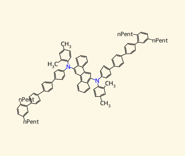 CCCCCc1ccc(CCCCC)c(-c2ccc(-c3ccc(-c4ccc(N(c5ccc(C)cc5C)c5cc6c7ccccc7c(N(c7ccc(-c8ccc(-c9ccc(-c%10cc(CCCCC)ccc%10CCCCC)cc9)cc8)cc7)c7ccc(C)cc7C)cc6c6ccccc56)cc4)cc3)cc2)c1